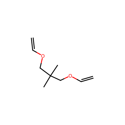 C=COCC(C)(C)COC=C